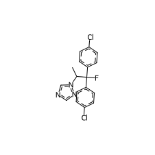 CC(n1cncn1)C(F)(c1ccc(Cl)cc1)c1ccc(Cl)cc1